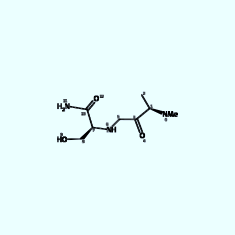 CN[C@H](C)C(=O)CN[C@@H](CO)C(N)=O